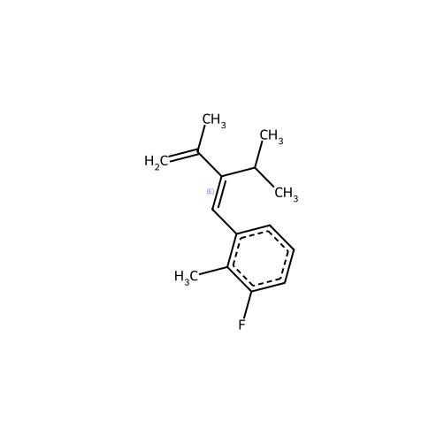 C=C(C)/C(=C/c1cccc(F)c1C)C(C)C